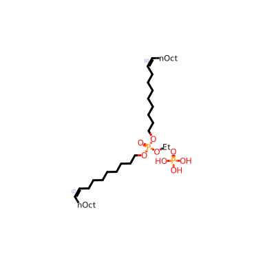 CCCCCCCC/C=C\CCCCCCCCOP(=O)(OCC)OCCCCCCCC/C=C\CCCCCCCC.O=P(O)(O)O